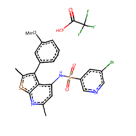 COc1cccc(-c2c(C)sc3nc(C)cc(NS(=O)(=O)c4cncc(Br)c4)c23)c1.O=C(O)C(F)(F)F